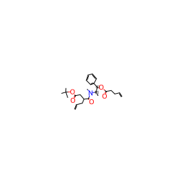 C=CCCC(=O)O[C@@H](c1ccccc1)[C@@H](C)N(C)C(=O)C(CC=C)CC(=O)OC(C)(C)C